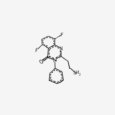 NCCc1nc2c(F)ccc(F)c2c(=O)n1-c1ccccc1